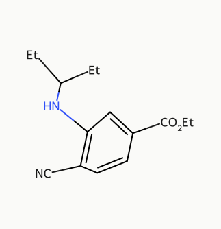 CCOC(=O)c1ccc(C#N)c(NC(CC)CC)c1